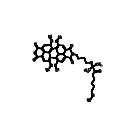 CCOc1cc2c3c(cc(OCC)c4c5c(OCC)cc6c7c(cc(OCC)c(c1c34)c75)C(=O)N(CCCCOC(C)(C)C(=O)CCCCCOC(C)C)C6=O)C(=O)OC2=O